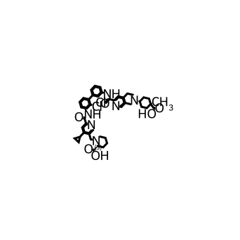 C[C@]1(C(=O)O)CC[C@H](N2CCc3cc(C(=O)Nc4cccc(-c5cccc(NC(=O)c6cc(C7CC7)c(CN7CCCC[C@H]7C(=O)O)cn6)c5Cl)c4Cl)ncc3C2)CC1